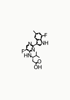 Cc1cc(F)c2[nH]cc(-c3ncc(F)c(N[C@H](CC(=O)O)C(C)C)n3)c2c1